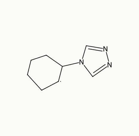 [CH]1CCCCC1n1cnnc1